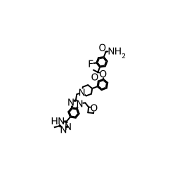 Cc1nnc(-c2ccc3c(c2)nc(CN2CCC(c4cccc5c4OC(C)(c4ccc(C(N)=O)cc4F)O5)CC2)n3CC2CCO2)[nH]1